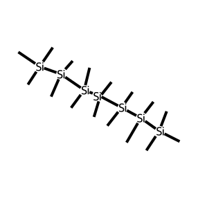 C[Si](C)(C)[Si](C)(C)[Si](C)(C)[Si](C)(C)[Si](C)(C)[Si](C)(C)[Si](C)(C)C